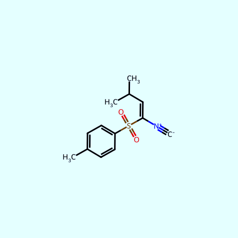 [C-]#[N+]/C(=C/C(C)C)S(=O)(=O)c1ccc(C)cc1